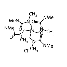 CNC(=O)N(C)C[P+](CN(C)C(=O)NC)(CN(C)C(=O)NC)CN(C)C(=O)NC.[Cl-]